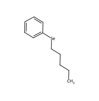 CCCCC[Se]c1ccccc1